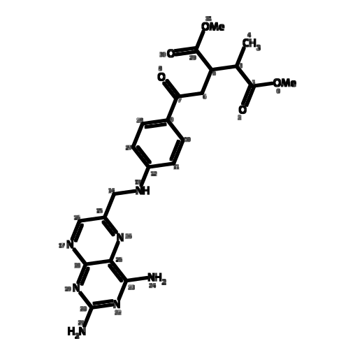 COC(=O)C(C)C(CC(=O)c1ccc(NCc2cnc3nc(N)nc(N)c3n2)cc1)C(=O)OC